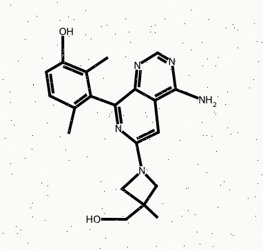 Cc1ccc(O)c(C)c1-c1nc(N2CC(C)(CO)C2)cc2c(N)ncnc12